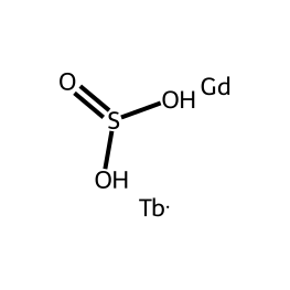 O=S(O)O.[Gd].[Tb]